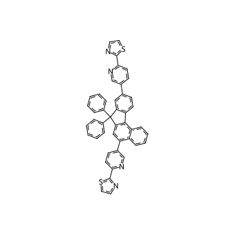 c1ccc(C2(c3ccccc3)c3cc(-c4ccc(-c5nccs5)nc4)ccc3-c3c2cc(-c2ccc(-c4nccs4)nc2)c2ccccc32)cc1